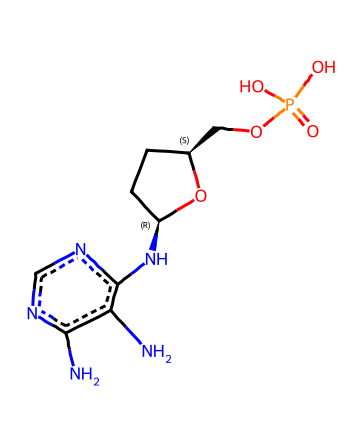 Nc1ncnc(N[C@H]2CC[C@@H](COP(=O)(O)O)O2)c1N